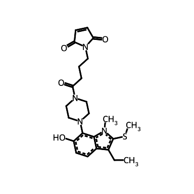 CCc1c(SC)n(C)c2c(N3CCN(C(=O)CCCN4C(=O)C=CC4=O)CC3)c(O)ccc12